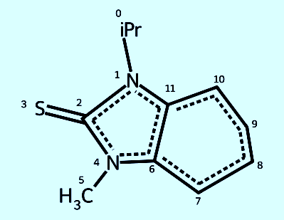 CC(C)n1c(=S)n(C)c2ccccc21